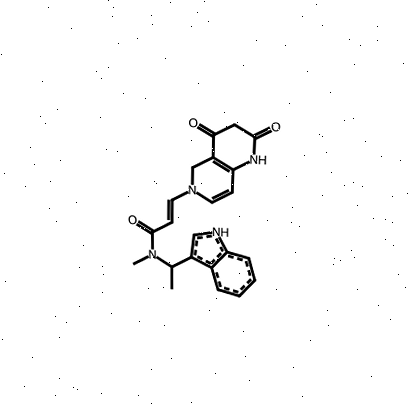 CC(c1c[nH]c2ccccc12)N(C)C(=O)/C=C/N1C=CC2=C(C1)C(=O)CC(=O)N2